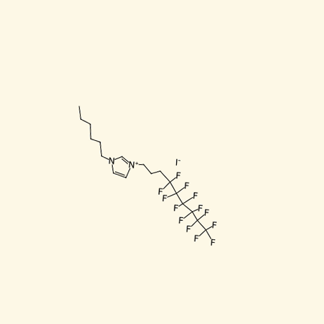 CCCCCCn1cc[n+](CCCC(F)(F)C(F)(F)C(F)(F)C(F)(F)C(F)(F)C(F)(F)F)c1.[I-]